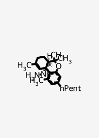 CCCCCc1cc(C)c2c(c1)OC(C)(C)[C@@H]1CCC(C)=C[C@@]21NN